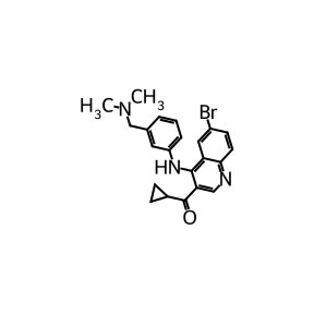 CN(C)Cc1cccc(Nc2c(C(=O)C3CC3)cnc3ccc(Br)cc23)c1